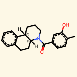 Cc1ccc(C(=O)N2CCC[C@H]3c4ccccc4CC[C@H]32)cc1O